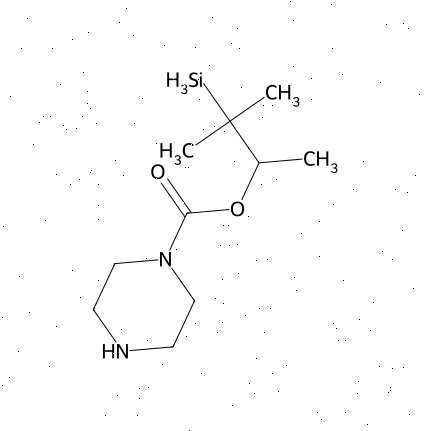 CC(OC(=O)N1CCNCC1)C(C)(C)[SiH3]